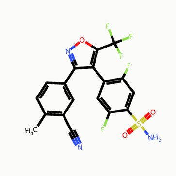 Cc1ccc(-c2noc(C(F)(F)F)c2-c2cc(F)c(S(N)(=O)=O)cc2F)cc1C#N